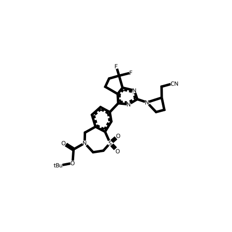 CC(C)(C)OC(=O)N1CCS(=O)(=O)c2cc(-c3nc(N4CCC4CC#N)nc4c3CCC4(F)F)ccc2C1